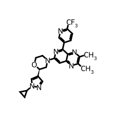 Cc1nc2cc(N3CCO[C@H](c4cnn(C5CC5)c4)C3)nc(-c3ccc(C(F)(F)F)nc3)c2nc1C